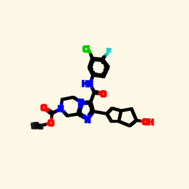 CC(C)(C)OC(=O)N1CCn2c(nc(C3CC4CC(O)CC4C3)c2C(=O)Nc2ccc(F)c(Cl)c2)C1